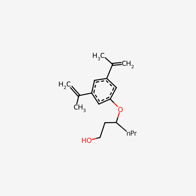 C=C(C)c1cc(OC(CCC)CCO)cc(C(=C)C)c1